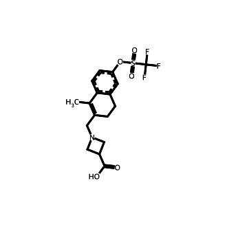 CC1=C(CN2CC(C(=O)O)C2)CCc2cc(OS(=O)(=O)C(F)(F)F)ccc21